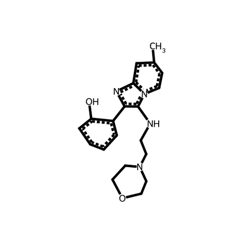 Cc1ccn2c(NCCN3CCOCC3)c(-c3ccccc3O)nc2c1